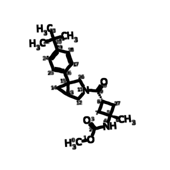 COC(=O)N[C@]1(C)C[C@H](C(=O)N2CC3CC3(c3ccc(C(C)(C)C)cc3)C2)C1